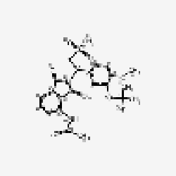 [2H]C(C)(C)Oc1cc(C(CS(C)(=O)=O)N2C(=O)c3cccc(NC(C)=O)c3C2=O)ccc1OC